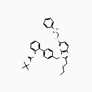 CCCCc1nc2ccc(NCS(=O)(=O)c3ccccc3)nc2n1Cc1ccc(-c2ccccc2OC(=O)OC(C)(C)C)cc1